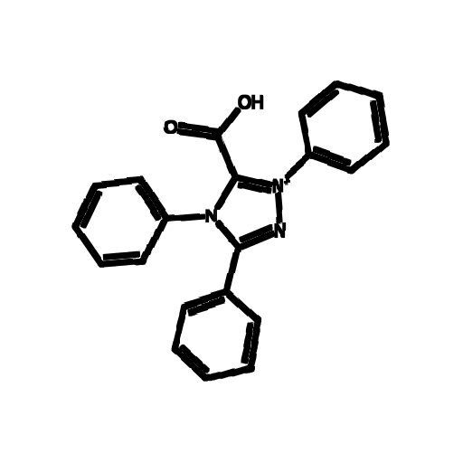 O=C(O)c1n(-c2ccccc2)c(-c2ccccc2)n[n+]1-c1ccccc1